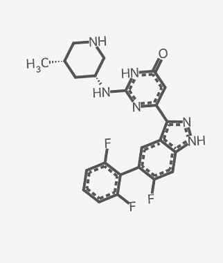 C[C@@H]1CNC[C@H](Nc2nc(-c3n[nH]c4cc(F)c(-c5c(F)cccc5F)cc34)cc(=O)[nH]2)C1